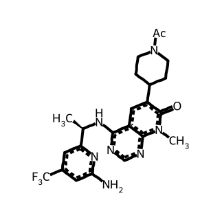 CC(=O)N1CCC(c2cc3c(N[C@H](C)c4cc(C(F)(F)F)cc(N)n4)ncnc3n(C)c2=O)CC1